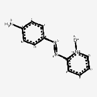 Nc1ccc(/N=N/c2cccc[n+]2[O-])cc1